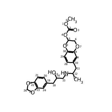 COC(=O)OC1COc2cc(CC(C)NCC(O)Cc3ccc4c(c3)OCO4)ccc2O1